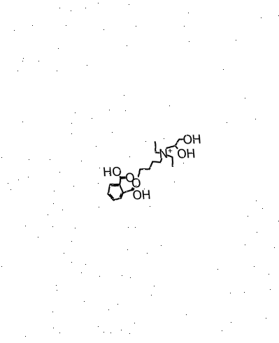 CCCCC[N+](CC)(CC)CC(O)CO.O=C(O)c1ccccc1C(=O)O